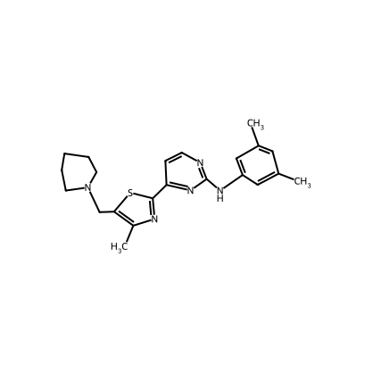 Cc1cc(C)cc(Nc2nccc(-c3nc(C)c(CN4CCCCC4)s3)n2)c1